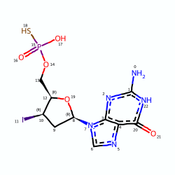 Nc1nc2c(ncn2[C@H]2C[C@@H](I)[C@@H](COP(=O)(O)S)O2)c(=O)[nH]1